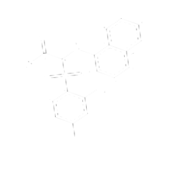 Cc1ccc(S(=O)(=O)C(Oc2cccc3ccccc23)C(N)=O)c(C)c1